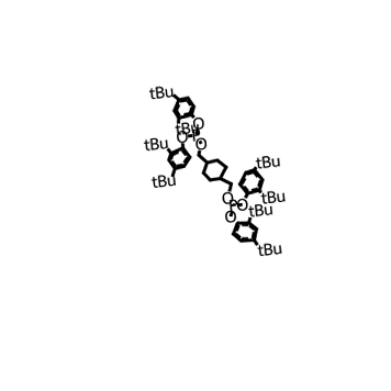 CC(C)(C)c1ccc(OP(OCC2CCC(COP(Oc3ccc(C(C)(C)C)cc3C(C)(C)C)Oc3ccc(C(C)(C)C)cc3C(C)(C)C)CC2)Oc2ccc(C(C)(C)C)cc2C(C)(C)C)c(C(C)(C)C)c1